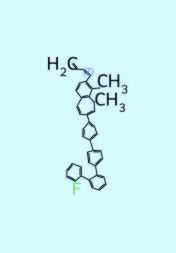 C=C/C=C\c1ccc2c(c1CC)C(C)C=C(c1ccc(-c3ccc(-c4ccccc4-c4ccccc4F)cc3)cc1)C=C2